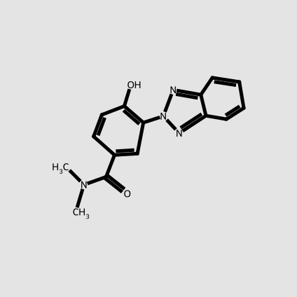 CN(C)C(=O)c1ccc(O)c(-n2nc3ccccc3n2)c1